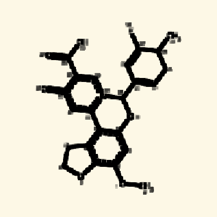 COc1cc2c(c3c1OCC3)-c1cc(=O)c(C(=O)O)cn1C(C1=CCC(C)C(F)=C1)O2